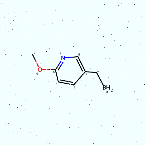 BCc1ccc(OC)nc1